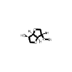 CCO[C@@]1(CC)CO[C@@H]2[C@H](O)CO[C@@H]21